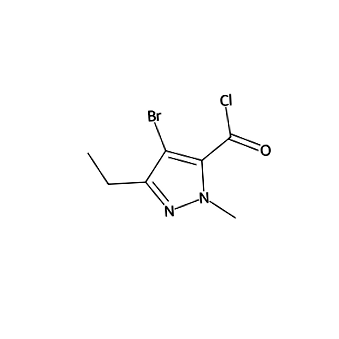 CCc1nn(C)c(C(=O)Cl)c1Br